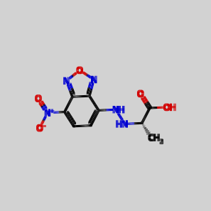 C[C@H](NNc1ccc([N+](=O)[O-])c2nonc12)C(=O)O